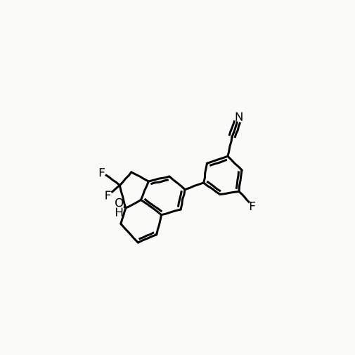 N#Cc1cc(F)cc(-c2cc3c4c(c2)CC(F)(F)C4(O)CC=C3)c1